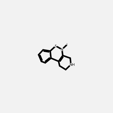 IN1Sc2ccccc2C2=C1CNCC2